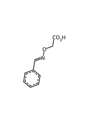 O=C(O)CO/N=C/c1ccccc1